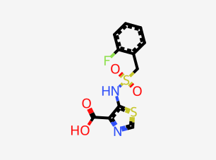 O=C(O)c1ncsc1NS(=O)(=O)Cc1ccccc1F